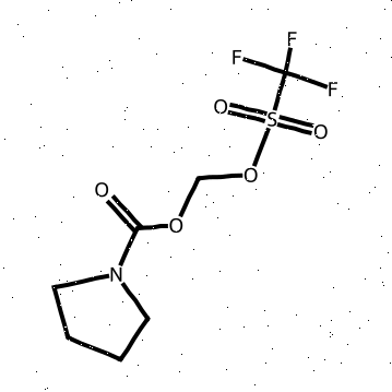 O=C(OCOS(=O)(=O)C(F)(F)F)N1CCCC1